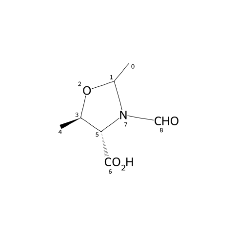 CC1O[C@H](C)[C@@H](C(=O)O)N1C=O